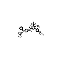 COc1ccc(-c2nc3c(C(=O)N4CCN([C@H](CNC(C)=O)c5ccccc5)CC4)cnn3c(C(F)(F)F)c2C)cc1